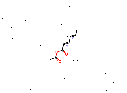 C/C=C/C=C/C(=O)OC(C)=O